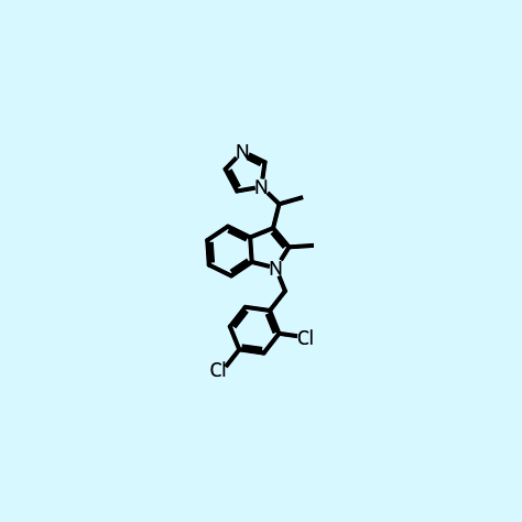 Cc1c(C(C)n2ccnc2)c2ccccc2n1Cc1ccc(Cl)cc1Cl